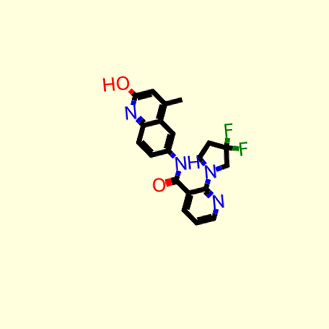 Cc1cc(O)nc2ccc(NC(=O)c3cccnc3N3CCC(F)(F)C3)cc12